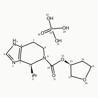 CC(C)[C@H]1c2nc[nH]c2CCN1C(=O)O[C@H]1CCOC1.O=P(O)(O)O